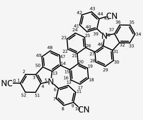 N#CC1=Cc2c(n(-c3ccc(C#N)cc3)c3c(-c4ccccc4-c4ccccc4-c4cccc5c6ccccc6n(-c6ccccc6C#N)c45)cccc23)CC1